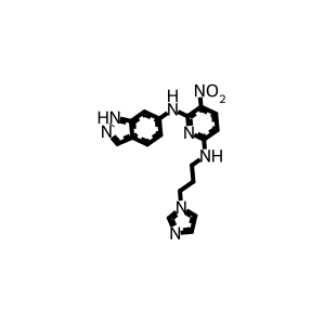 O=[N+]([O-])c1ccc(NCCCn2ccnc2)nc1Nc1ccc2cn[nH]c2c1